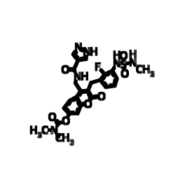 CNS(=O)(=O)Nc1cccc(Cc2c(CNC(=O)c3cn[nH]c3)c3ccc(OC(=O)N(C)C)cc3oc2=O)c1F